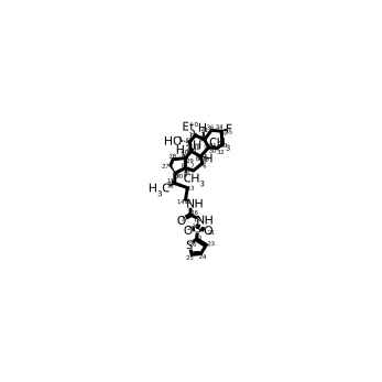 CC[C@H]1[C@@H](O)[C@@H]2[C@H](CC[C@]3(C)[C@@H]([C@H](C)CCNC(=O)NS(=O)(=O)c4cccs4)CC[C@@H]23)[C@@]2(C)CC[C@H](F)C[C@@H]12